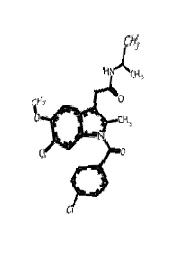 COc1cc2c(CC(=O)NC(C)C)c(C)n(C(=O)c3ccc(Cl)cc3)c2cc1Cl